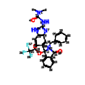 CN(C)C(=O)Nc1nc2cc(C3(OC(=O)C(F)(F)F)c4ccccc4C(=O)N3Cc3ccccc3)ccc2[nH]1